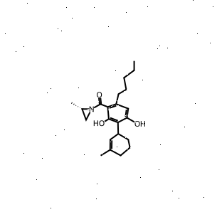 CCCCCc1cc(O)c(C2C=C(C)CCC2)c(O)c1C(=O)N1C[C@@H]1C